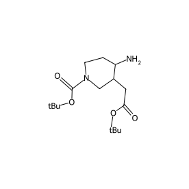 CC(C)(C)OC(=O)CC1CN(C(=O)OC(C)(C)C)CCC1N